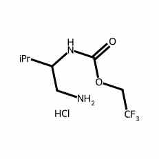 CC(C)C(CN)NC(=O)OCC(F)(F)F.Cl